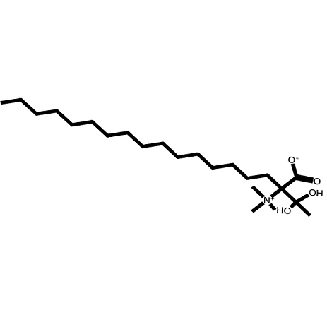 CCCCCCCCCCCCCCCCC(C(=O)[O-])(C(C)(O)O)[N+](C)(C)C